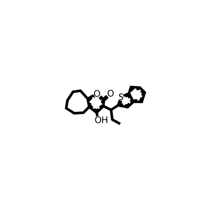 CCC(c1cc2ccccc2s1)c1c(O)c2c(oc1=O)CCCCCC2